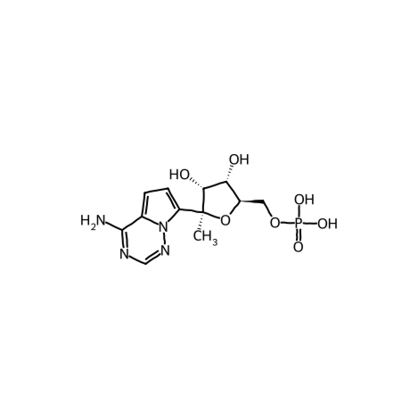 C[C@@]1(c2ccc3c(N)ncnn23)O[C@H](COP(=O)(O)O)[C@@H](O)[C@H]1O